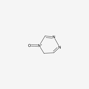 O=[N+]1C=NN=CC1